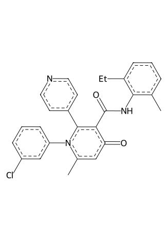 CCc1cccc(C)c1NC(=O)c1c(-c2ccncc2)n(-c2cccc(Cl)c2)c(C)cc1=O